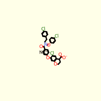 O=C([O-])C1CCOc2cc(Oc3ccc(C(=O)N(CCc4ccc(Cl)cc4)Oc4ccc(Cl)cc4)cc3)c(Cl)cc21.[Na+]